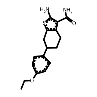 CCOc1ccc(C2CCc3c(sc(N)c3C(N)=O)C2)cc1